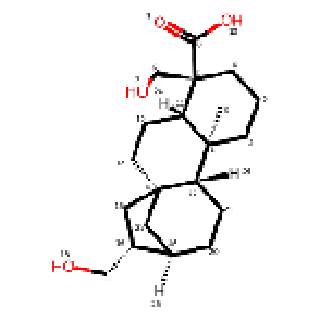 C[C@@]12CCC[C@@](CO)(C(=O)O)[C@H]1CC[C@]13C[C@@H](CO)[C@H](CC[C@H]12)C3